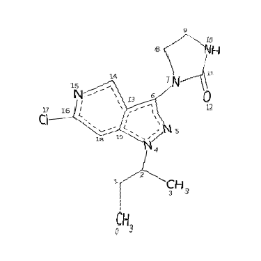 CCC(C)n1nc(N2CCNC2=O)c2cnc(Cl)cc21